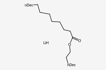 CCCCCCCCCCCCCCCCCC(=O)OCCCCCCCCCCCC.[LiH]